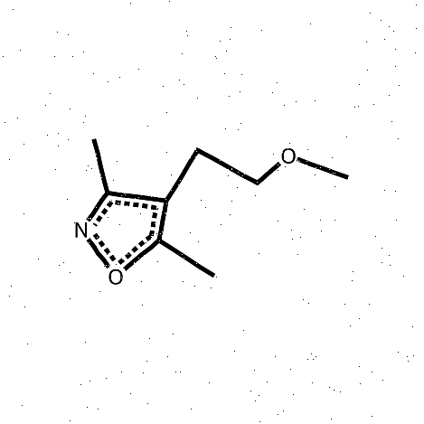 COCCc1c(C)noc1C